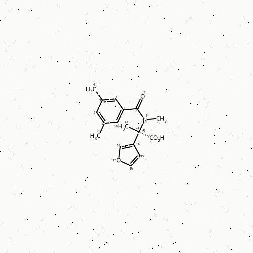 Cc1cc(C)cc(C(=O)N(C)[C@@](C)(C(=O)O)c2ccoc2)c1